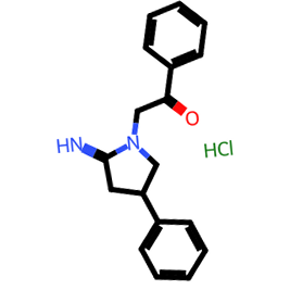 Cl.N=C1CC(c2ccccc2)CN1CC(=O)c1ccccc1